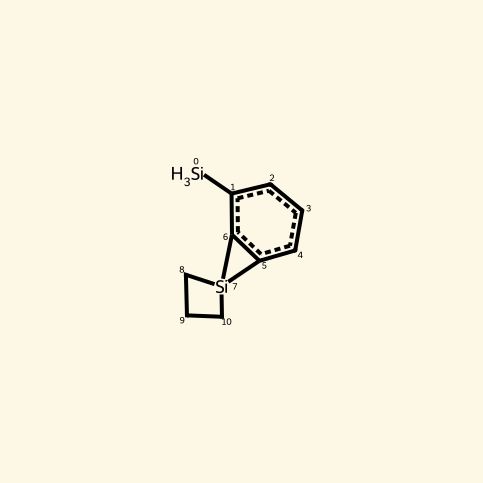 [SiH3]c1cccc2c1[Si]21CCC1